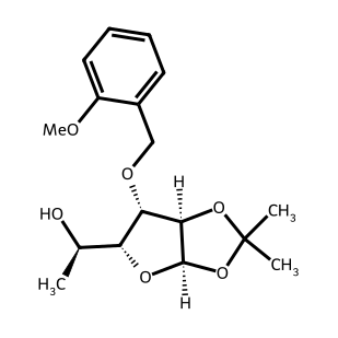 COc1ccccc1CO[C@@H]1[C@H]2OC(C)(C)O[C@H]2O[C@@H]1[C@@H](C)O